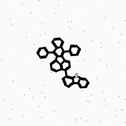 c1ccc(-c2c3c(c(-c4ccccc4)c4ccccc24)-c2ccc(-c4cccc5c4sc4ccccc45)c4cccc-3c24)cc1